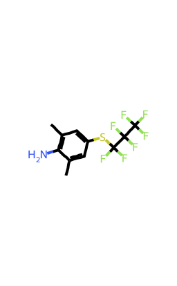 Cc1cc(SC(F)(F)C(F)(F)C(F)(F)F)cc(C)c1N